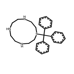 c1ccc(C(c2ccccc2)(c2ccccc2)N2CCNCCNCCNCC2)cc1